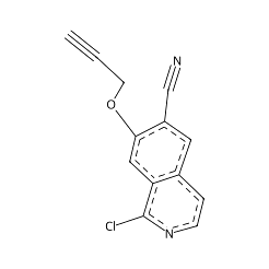 C#CCOc1cc2c(Cl)nccc2cc1C#N